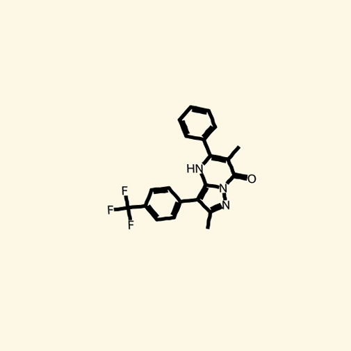 Cc1nn2c(=O)c(C)c(-c3ccccc3)[nH]c2c1-c1ccc(C(F)(F)F)cc1